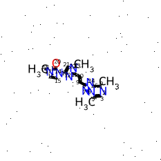 Cc1ncc(C)n2nc(C=Cc3nc(N4CCN(C)C4=O)cn3C)nc12